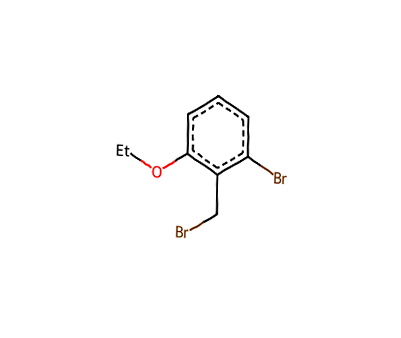 CCOc1cccc(Br)c1CBr